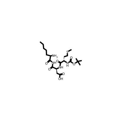 CCCCCC(N)C(=O)NC(=O)[C@H](CC(=O)O)NC(=O)[C@H](CCSC)NC(=O)OC(C)(C)C